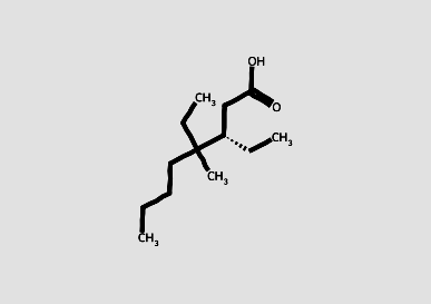 CCCCC(C)(CC)[C@@H](CC)CC(=O)O